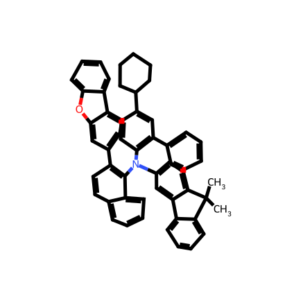 CC1(C)c2ccccc2-c2cc(N(c3ccc(C4CCCCC4)cc3-c3ccccc3)c3c(-c4ccc5c(c4)oc4ccccc45)ccc4ccccc34)ccc21